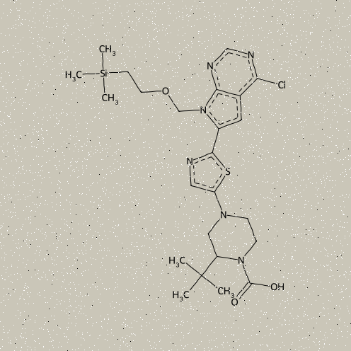 CC(C)(C)C1CN(c2cnc(-c3cc4c(Cl)ncnc4n3COCC[Si](C)(C)C)s2)CCN1C(=O)O